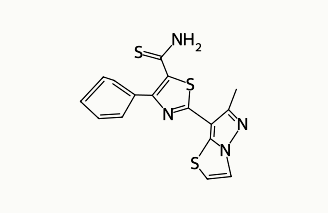 Cc1nn2ccsc2c1-c1nc(-c2ccccc2)c(C(N)=S)s1